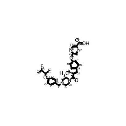 Cn1c(C(=O)N2CCN(Cc3ccc(OC(F)C(F)F)cc3)CC2)cc2ccc(Oc3cnc(C(=O)O)cn3)cc21